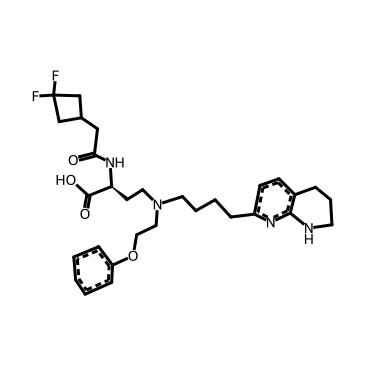 O=C(CC1CC(F)(F)C1)N[C@@H](CCN(CCCCc1ccc2c(n1)NCCC2)CCOc1ccccc1)C(=O)O